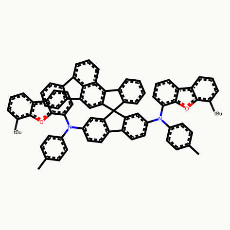 Cc1ccc(N(c2ccc3c(c2)C2(c4cc(N(c5ccc(C)cc5)c5cccc6c5oc5c(C(C)(C)C)cccc56)ccc4-3)c3ccccc3-c3c2cc2c4c(cccc34)-c3ccccc3-2)c2cccc3c2oc2c(C(C)(C)C)cccc23)cc1